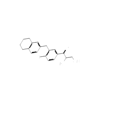 O=C(c1ccc(Cl)c(Cc2ccc3c(c2)CCCC3)c1)C(O)CO